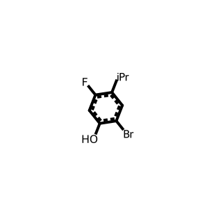 CC(C)c1cc(Br)c(O)cc1F